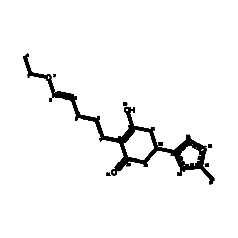 CCON=CCCCC1=C(O)CC(c2csc(C)n2)CC1=O